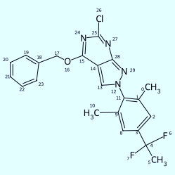 Cc1cc(C(C)(F)F)cc(C)c1-n1cc2c(OCc3ccccc3)nc(Cl)nc2n1